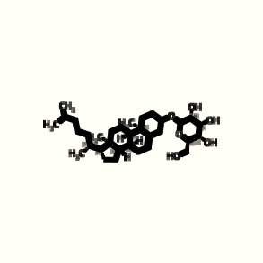 CC(C)CCC[C@@H](C)[C@H]1CC[C@H]2[C@@H]3CC=C4CC(OC5O[C@H](CO)[C@@H](O)[C@H](O)[C@H]5O)CC[C@]4(C)[C@H]3CC[C@]12C